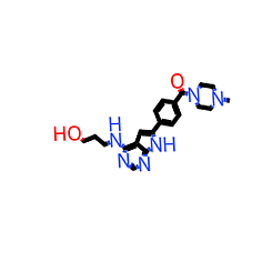 CN1CCN(C(=O)c2ccc(-c3cc4c(NCCCO)ncnc4[nH]3)cc2)CC1